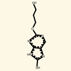 OCCCOc1ncc2nc(O)[nH]c2n1